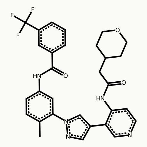 Cc1ccc(NC(=O)c2cccc(C(F)(F)F)c2)cc1-n1cc(-c2cnccc2NC(=O)CC2CCOCC2)cn1